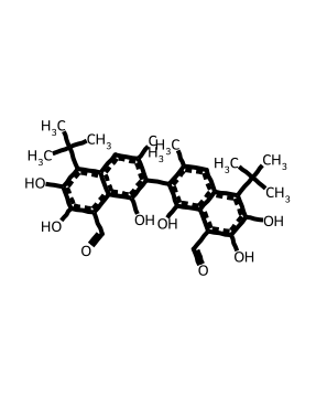 Cc1cc2c(C(C)(C)C)c(O)c(O)c(C=O)c2c(O)c1-c1c(C)cc2c(C(C)(C)C)c(O)c(O)c(C=O)c2c1O